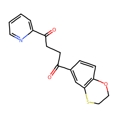 O=C(CCC(=O)c1ccccn1)c1ccc2c(c1)SCCO2